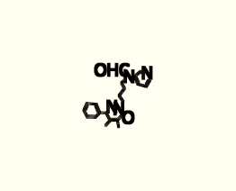 Cc1c(-c2ccccc2)nn(CCCCN(C=O)c2cccnc2)c(=O)c1C